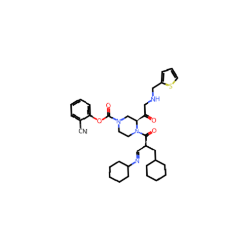 N#Cc1ccccc1OC(=O)N1CCN(C(=O)C(/C=N/C2CCCCC2)CC2CCCCC2)[C@H](C(=O)CNCc2cccs2)C1